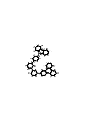 c1cc(-c2ccc(-n3c4ccccc4c4ccccc43)cc2)cc(-c2cccc(-c3ccc4c5ccccc5c5ccccc5c4c3)c2)c1